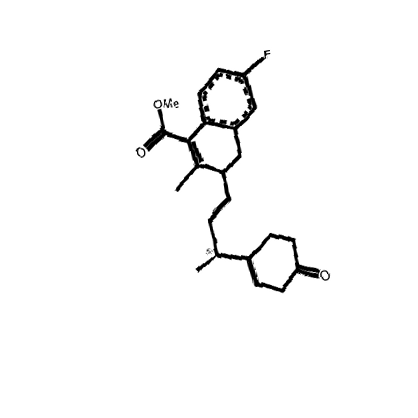 COC(=O)C1=C(C)C(CC[C@H](C)C2CCC(=O)CC2)Cc2cc(F)ccc21